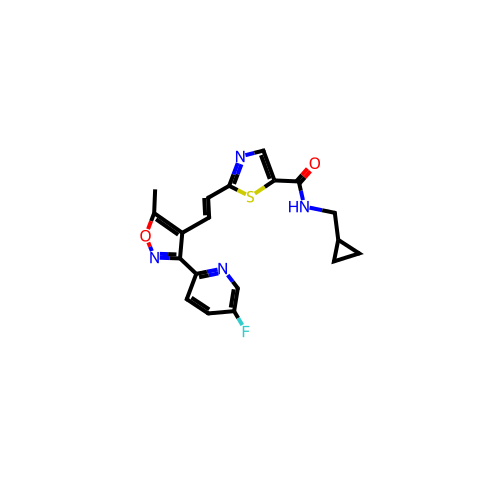 Cc1onc(-c2ccc(F)cn2)c1C=Cc1ncc(C(=O)NCC2CC2)s1